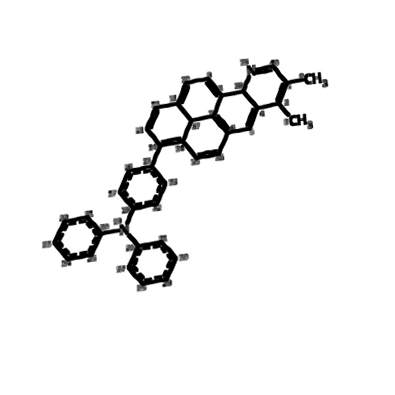 CC1=C(C)C2=CC3=C4C(=CC=C5C=CC(c6ccc(N(c7ccccc7)c7ccccc7)cc6)=C(C=C3)C54)C2N=C1